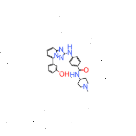 CN1CCC(NC(=O)c2ccc(Nc3nc4cccc(-c5cccc(O)c5)n4n3)cc2)CC1